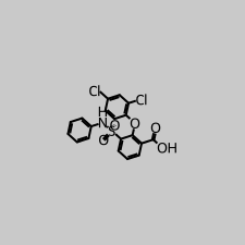 O=C(O)c1cccc(S(=O)(=O)Nc2ccccc2)c1Oc1ccc(Cl)cc1Cl